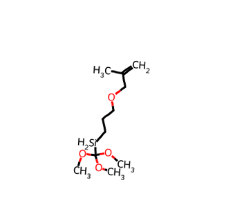 C=C(C)COCCC[SiH2]C(OC)(OC)OC